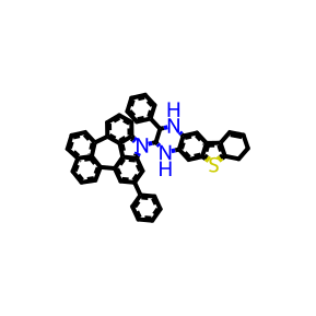 C1=Cc2c(sc3cc4c(cc23)NC(c2ccccc2)C(n2c3cccc5c3c3c(cc(-c6ccccc6)cc32)-c2cccc3cccc-5c23)N4)CC1